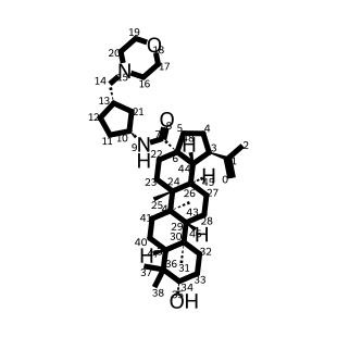 C=C(C)[C@@H]1CC[C@]2(C(=O)N[C@@H]3CC[C@H](CN4CCOCC4)C3)CC[C@]3(C)[C@H](CC[C@@H]4[C@@]5(C)CC[C@H](O)C(C)(C)[C@@H]5CC[C@]43C)[C@@H]12